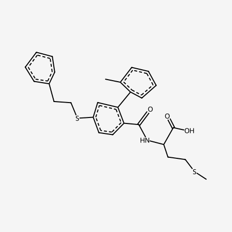 CSCCC(NC(=O)c1ccc(SCCc2ccccc2)cc1-c1ccccc1C)C(=O)O